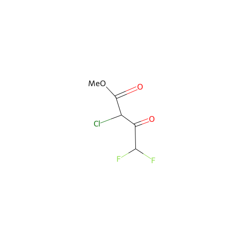 COC(=O)C(Cl)C(=O)C(F)F